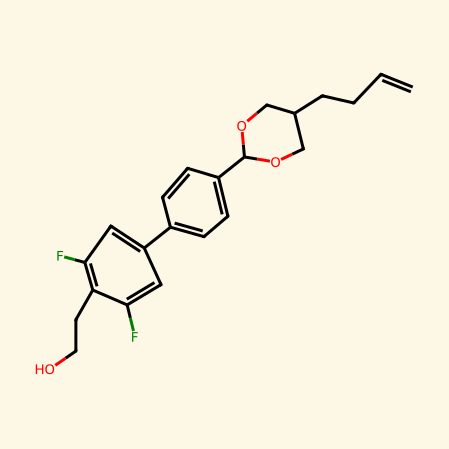 C=CCCC1COC(c2ccc(-c3cc(F)c(CCO)c(F)c3)cc2)OC1